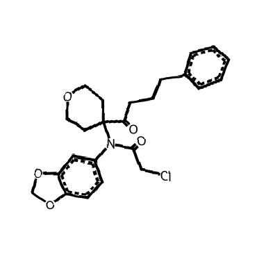 O=C(CCl)N(c1ccc2c(c1)OCO2)C1(C(=O)CCCc2ccccc2)CCOCC1